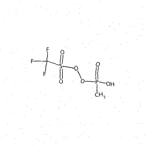 CP(=O)(O)OOS(=O)(=O)C(F)(F)F